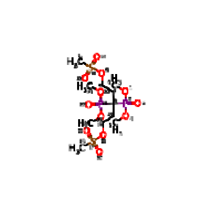 COP(=O)(OC)C(CCOS(C)(=O)=O)(CCOS(C)(=O)=O)P(=O)(OC)OC